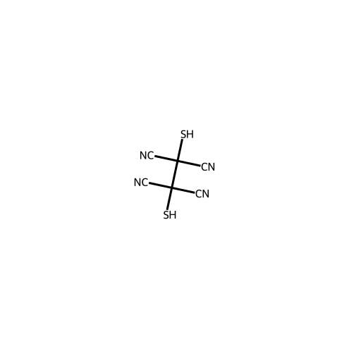 N#CC(S)(C#N)C(S)(C#N)C#N